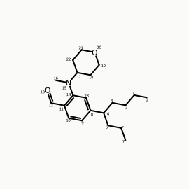 CCCCC(CCC)c1ccc(C=O)c(N(C)C2CCOCC2)c1